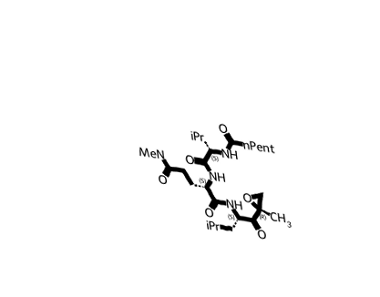 CCCCCC(=O)N[C@H](C(=O)N[C@@H](CCC(=O)NC)C(=O)N[C@@H](CC(C)C)C(=O)[C@@]1(C)CO1)C(C)C